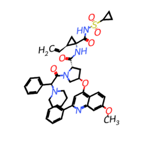 C=C[C@H]1C[C@@]1(NC(=O)[C@@H]1C[C@@H](Oc2cc(-c3ccccc3)nc3cc(OC)ccc23)CN1C(=O)[C@H](c1ccccc1)N1CCCCC1)C(=O)NS(=O)(=O)C1CC1